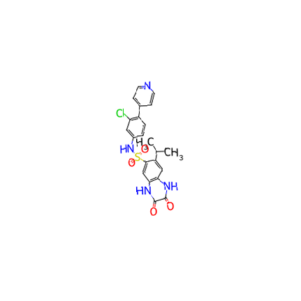 CC(C)c1cc2[nH]c(=O)c(=O)[nH]c2cc1S(=O)(=O)Nc1ccc(-c2ccncc2)c(Cl)c1